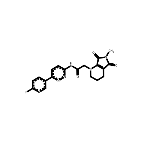 CN1C(=O)C2=C(C1=O)N(CC(=O)Nc1ccc(-c3ccc(F)nc3)nn1)CCC2